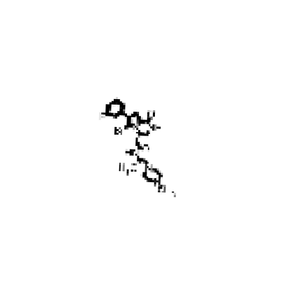 C[C@@H](CN1CCN(C)CC1)NC(=O)C[C@H]1CNC(=O)c2cc(-c3cccc(F)c3)c(Br)n21